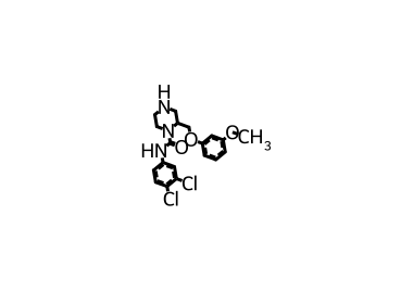 COc1cccc(OCC2CNCCN2C(=O)Nc2ccc(Cl)c(Cl)c2)c1